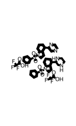 O=C(O)C(F)(F)F.O=C(O)C(F)(F)F.O=S(=O)(c1ccccc1)n1ccc2c(-c3cnccn3)cccc21.O=S(=O)(c1ccccc1)n1ccc2c(C3CNCCN3)cccc21